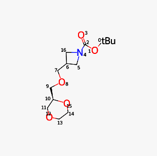 CC(C)(C)OC(=O)N1CC(COC[C@@H]2COCCO2)C1